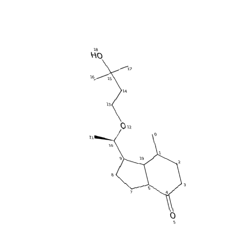 CC1CCC(=O)C2CCC([C@@H](C)OCCC(C)(C)O)C12